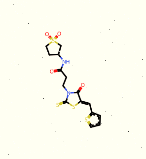 O=C(CCN1C(=O)/C(=C/c2cccs2)SC1=S)NC1CCS(=O)(=O)C1